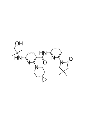 CC1(C)CC(=O)N(c2cccc(NC(=O)c3ccc(NC(C)(C)CO)nc3N3CCC4(CC3)CC4)n2)C1